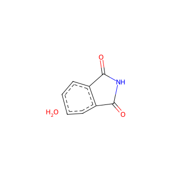 O.O=C1NC(=O)c2ccccc21